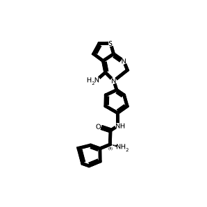 NC1=c2ccsc2=NCN1c1ccc(NC(=O)[C@H](N)c2ccccc2)cc1